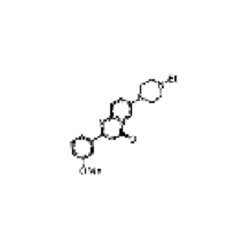 CCN1CCN(c2ccc3nc(-c4cccc(OC)c4)cc(=O)n3c2)CC1